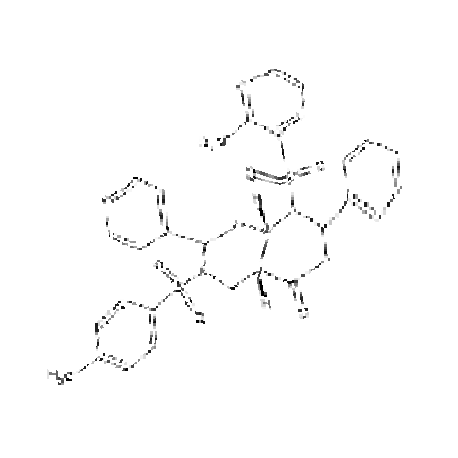 Cc1ccc(S(=O)(=O)N2C[C@H]3C(=O)CC(c4ccccc4)C(S(=O)(=O)c4ccccc4[N+](=O)[O-])[C@H]3CC2c2ccccc2)cc1